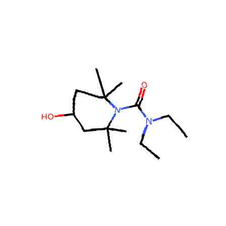 CCN(CC)C(=O)N1C(C)(C)CC(O)CC1(C)C